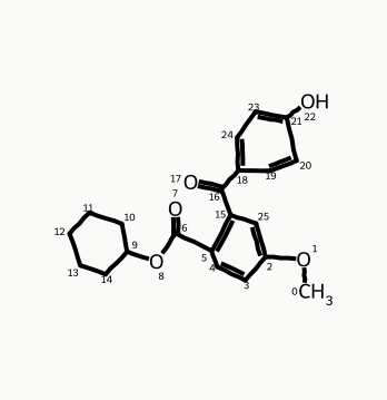 COc1ccc(C(=O)OC2CCCCC2)c(C(=O)c2ccc(O)cc2)c1